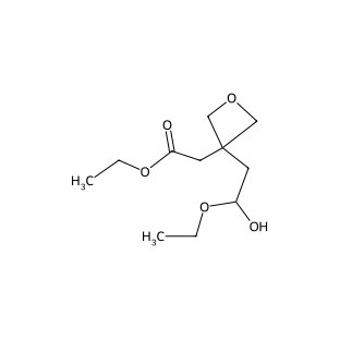 CCOC(=O)CC1(CC(O)OCC)COC1